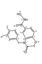 Cc1ccc(CN2C(=O)COc3ccc(C(=O)NO)cc32)cc1C